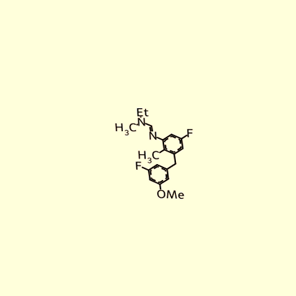 CCN(C)/C=N/c1cc(F)cc(Cc2cc(F)cc(OC)c2)c1C